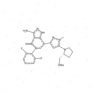 COC[C@H]1CCCN1c1cc(-c2cn(-c3c(F)cccc3F)c(=O)c3c(N)n[nH]c23)nn1C